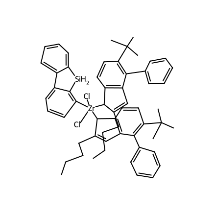 CCCCC1=Cc2c(ccc(C(C)(C)C)c2-c2ccccc2)[CH]1[Zr]([Cl])([Cl])([c]1cccc2c1[SiH2]c1ccccc1-2)[CH]1C(CCCC)=Cc2c1ccc(C(C)(C)C)c2-c1ccccc1